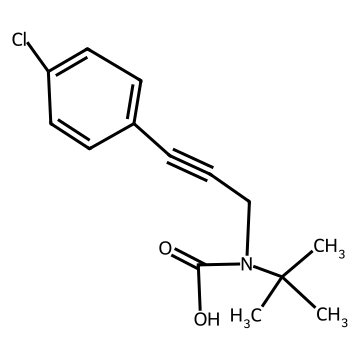 CC(C)(C)N(CC#Cc1ccc(Cl)cc1)C(=O)O